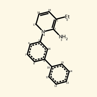 CCC1=C(N)N(c2cccc(-c3ccccc3)c2)CC=C1